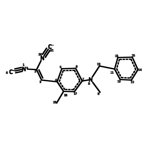 [C-]#[N+]C(=Cc1ccc(N(C)Cc2ccccc2)cc1C)[N+]#[C-]